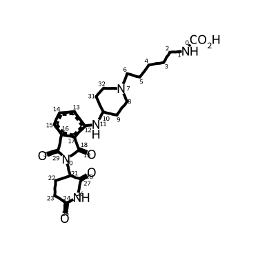 O=C(O)NCCCCCN1CCC(Nc2cccc3c2C(=O)N(C2CCC(=O)NC2=O)C3=O)CC1